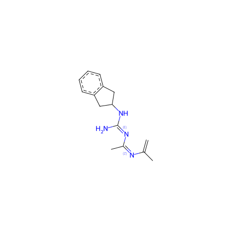 C=C(C)/N=C(C)\N=C(/N)NC1Cc2ccccc2C1